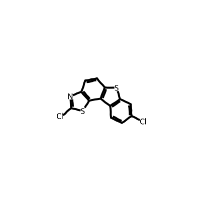 Clc1ccc2c(c1)sc1ccc3nc(Cl)sc3c12